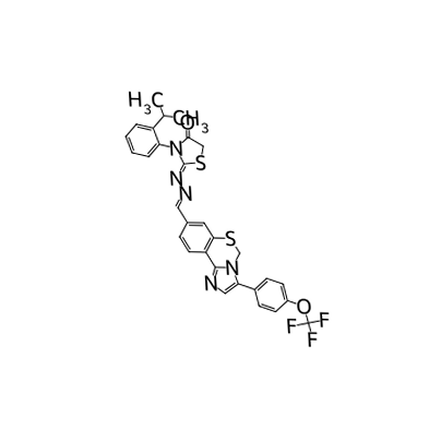 CC(C)c1ccccc1N1C(=O)CSC1=NN=Cc1ccc2c(c1)SCn1c(-c3ccc(OC(F)(F)F)cc3)cnc1-2